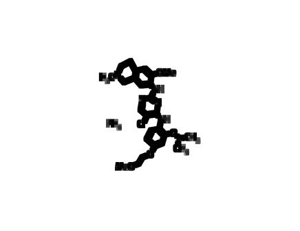 COCCOc1ccc(Nc2nc(Nc3cc4c(cc3OC)CCN(C)C4)ncc2Cl)c(OP(C)C)c1.P